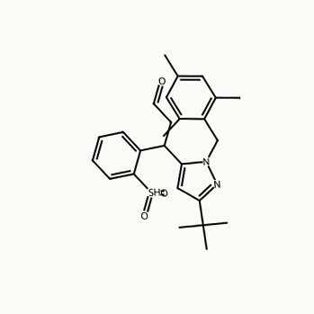 Cc1cc(C)c(Cn2nc(C(C)(C)C)cc2C(CC=O)c2ccccc2[SH](=O)=O)c(C)c1